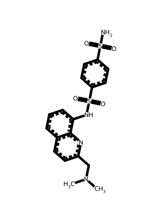 CN(C)Cc1ccc2cccc(NS(=O)(=O)c3ccc(S(N)(=O)=O)cc3)c2n1